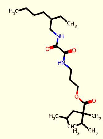 CCCCC(CC)CNC(=O)C(=O)NCCCOC(=O)C(C)(CC(C)C)C(C)C